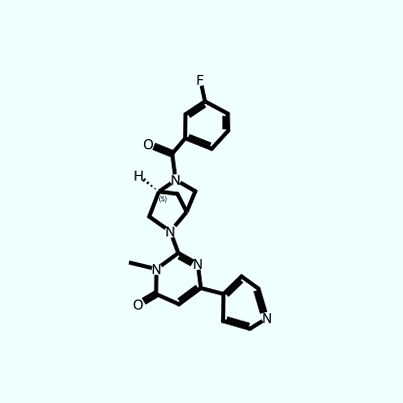 Cn1c(N2C[C@@H]3CC2CN3C(=O)c2cccc(F)c2)nc(-c2ccncc2)cc1=O